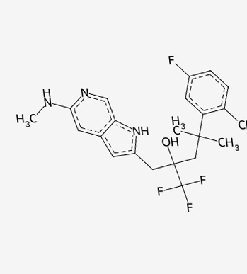 CNc1cc2cc(CC(O)(CC(C)(C)c3cc(F)ccc3C)C(F)(F)F)[nH]c2cn1